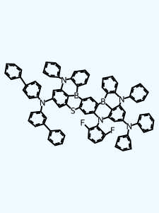 Fc1cccc(F)c1N1c2cc3c(cc2B2c4ccccc4N(c4ccccc4)c4cc(N(c5ccccc5)c5ccccc5)cc1c42)B1c2ccccc2N(c2ccccc2)c2cc(N(c4ccc(-c5ccccc5)cc4)c4cccc(-c5ccccc5)c4)cc(c21)S3